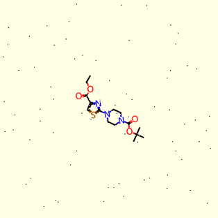 CCOC(=O)c1csc(N2CCN(C(=O)OC(C)(C)C)CC2)n1